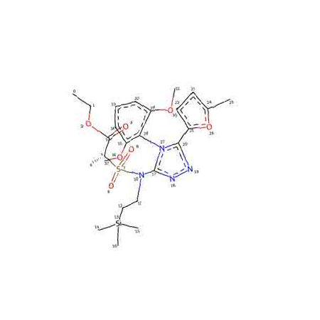 CCOC(=O)[C@@H](C)S(=O)(=O)N(CC[Si](C)(C)C)c1nnc(-c2ccc(C)o2)n1-c1c(OC)cccc1OC